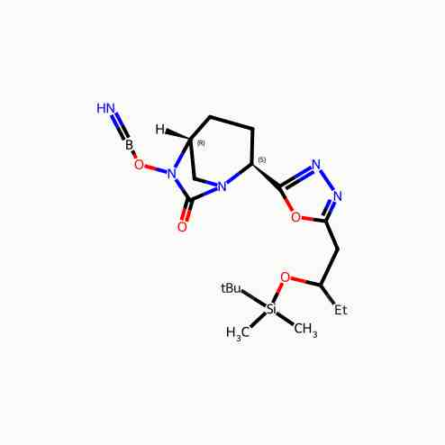 CCC(Cc1nnc([C@@H]2CC[C@@H]3CN2C(=O)N3OB=N)o1)O[Si](C)(C)C(C)(C)C